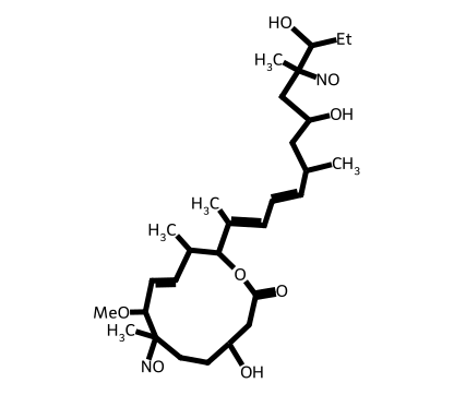 CCC(O)C(C)(CC(O)CC(C)/C=C/C=C(\C)C1OC(=O)CC(O)CCC(C)(N=O)C(OC)/C=C/C1C)N=O